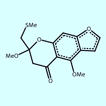 COc1c2c(cc3occc13)OC(CSC)(OC)CC2=O